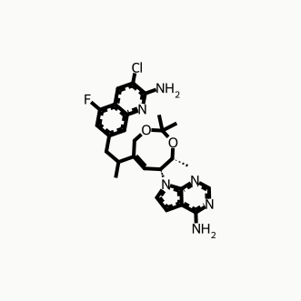 CC(Cc1cc(F)c2cc(Cl)c(N)nc2c1)/C1=C/[C@@H](n2ccc3c(N)ncnc32)[C@@H](C)OC(C)(C)OC1